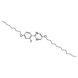 CCCCCCCCCCCCOc1cnc(-c2ccc(OCCCCCCCC)cc2F)nc1